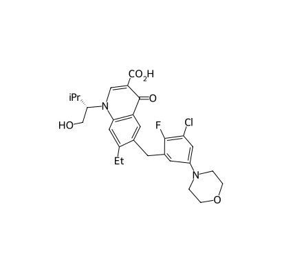 CCc1cc2c(cc1Cc1cc(N3CCOCC3)cc(Cl)c1F)c(=O)c(C(=O)O)cn2[C@H](CO)C(C)C